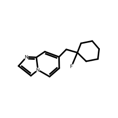 FC1(Cc2ccn3ccnc3c2)CCCCC1